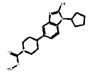 CC(C)(C)OC(=O)N1CCC(c2ccc3c(c2)nc(N)n3C2CCCC2)CC1